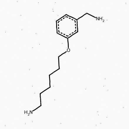 NCCCCCCOc1cccc(CN)c1